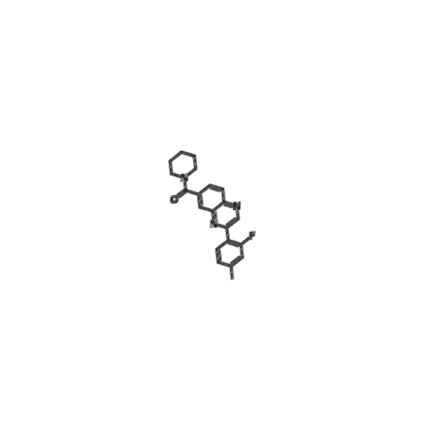 Cc1ccc(-c2cnc3ccc(C(=O)N4CCCCC4)cc3n2)c(F)c1